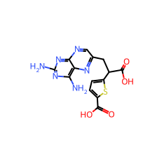 Nc1nc(N)c2nc(CC(C(=O)O)c3ccc(C(=O)O)s3)cnc2n1